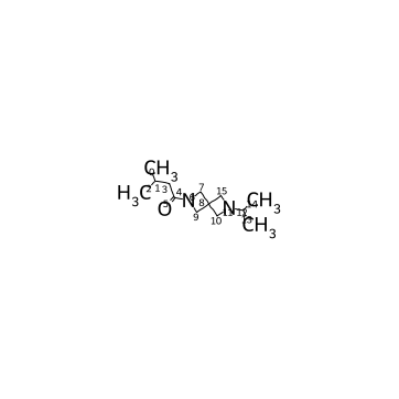 CC(C)CC(=O)N1CC2(C1)CN(C(C)C)C2